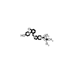 CC(C)(C)OC(=O)N1CCC2(CCN(Cc3cccc(Cl)c3N3CCC(O)CC3)C2)CC1